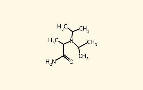 CC(C)N(C(C)C)C(C)C(N)=O